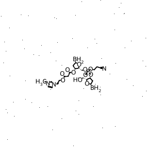 B[C@H]1C[C@@H](OC(=O)CC(=O)OCC[n+]2ccn(C)c2)[C@@H](COP(=O)(OCCC#N)O[C@@H]2C[C@H](B)O[C@@H]2CO)O1